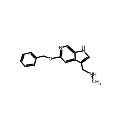 CNCc1c[nH]c2cnc(OCc3ccccc3)cc12